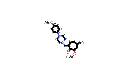 CCCCOc1cc(C(C)C)ccc(CN2CCN(c3ccc(OC)cc3)CC2)c1=O